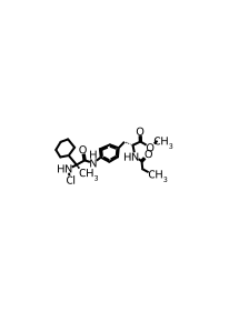 CCC(=O)N[C@H](Cc1ccc(NC(=O)[C@](C)(NCl)C2CCCCC2)cc1)C(=O)OC